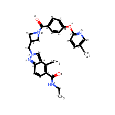 Cc1c(C(=O)NCC(F)(F)F)ccc2nn(CC3CN(C(=O)c4ccc(Oc5ccc(C(F)(F)F)cn5)cc4)C3)cc12